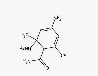 CC(=O)NC1(C(F)(F)F)C=C(C(F)(F)F)C=C(C(F)(F)F)C1C(N)=O